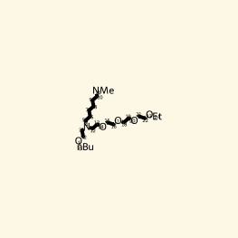 CCCCOCCN(CCCCCCNC)CCOCCOCCOCCOCC